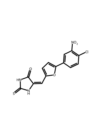 O=C1NC(=S)NC1=Cc1ccc(-c2ccc(Cl)c([N+](=O)[O-])c2)o1